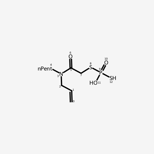 C=CCN(CCCCC)C(=O)CSP(=O)(O)S